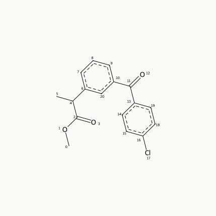 COC(=O)C(C)c1cccc(C(=O)c2ccc(Cl)cc2)c1